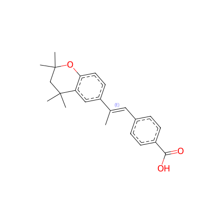 C/C(=C\c1ccc(C(=O)O)cc1)c1ccc2c(c1)C(C)(C)CC(C)(C)O2